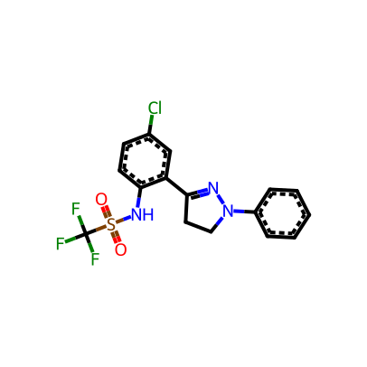 O=S(=O)(Nc1ccc(Cl)cc1C1=NN(c2ccccc2)CC1)C(F)(F)F